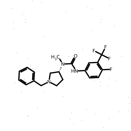 CN(C(=O)Nc1ccc(F)c(C(F)(F)F)c1)[C@@H]1CCN(Cc2ccccc2)C1